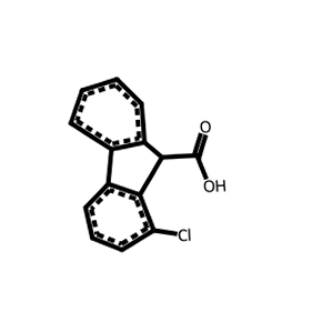 O=C(O)C1c2ccccc2-c2cccc(Cl)c21